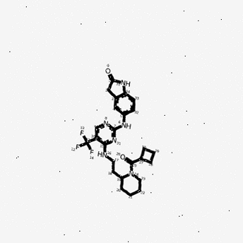 O=C1Cc2cc(Nc3ncc(C(F)(F)F)c(NCCC4CCCCN4C(=O)C4CCC4)n3)ccc2N1